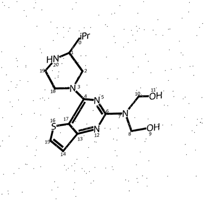 CC(C)C1CN(c2nc(N(CO)CO)nc3ccsc23)CCN1